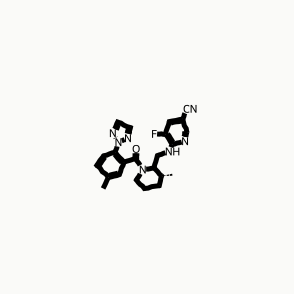 Cc1ccc(-n2nccn2)c(C(=O)N2CCC[C@@H](C)C2CNc2ncc(C#N)cc2F)c1